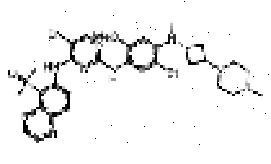 CCc1cc(Nc2ncc(Br)c(Nc3ccc4nccnc4c3P(C)(C)=O)n2)c(OC)cc1N(C)[C@H]1C[C@H](N2CCN(C)CC2)C1